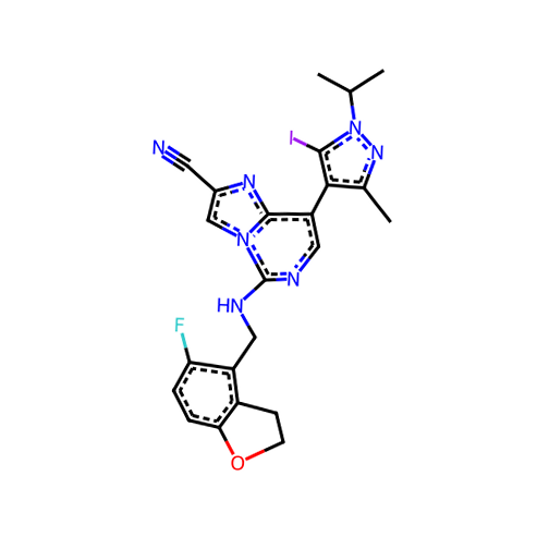 Cc1nn(C(C)C)c(I)c1-c1cnc(NCc2c(F)ccc3c2CCO3)n2cc(C#N)nc12